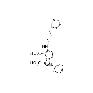 CCOC(=O)c1c(NCCCCc2ccccc2)ccc2c1c(C(=O)O)cn2-c1ccccc1